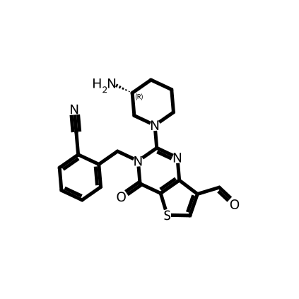 N#Cc1ccccc1Cn1c(N2CCC[C@@H](N)C2)nc2c(C=O)csc2c1=O